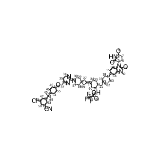 Cn1c(=O)n(C2CCC(=O)NC2=O)c2ccc(C3CCN(CC4CCN(C5CC6(CCN(c7nccc(COc8ccc(C(C)(C)c9cc(Cl)cc(C#N)c9)cc8)n7)CC6)C5)CC4)CC3)cc21.O=C(O)C(F)(F)F